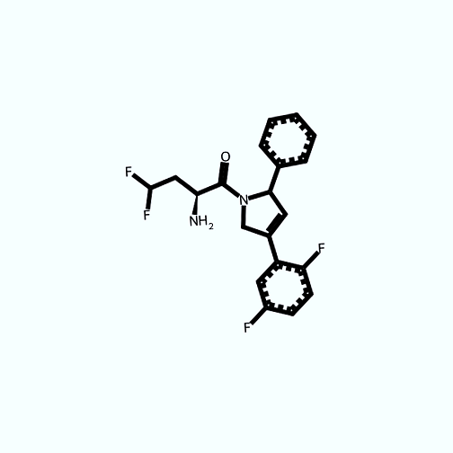 N[C@@H](CC(F)F)C(=O)N1CC(c2cc(F)ccc2F)=CC1c1ccccc1